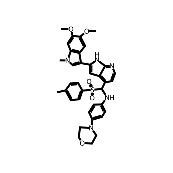 COc1cc2c(-c3cc4c(C(Nc5ccc(N6CCOCC6)cc5)S(=O)(=O)c5ccc(C)cc5)ccnc4[nH]3)cn(C)c2cc1OC